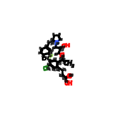 Cc1ccc(C[C@@H]2CCCN2C[C@@H](O)CO[C@H](C)c2ccc(Cl)cc2CCC(=O)O)cc1F